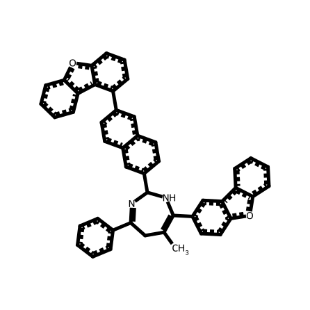 CC1=C(c2ccc3oc4ccccc4c3c2)NC(c2ccc3cc(-c4cccc5oc6ccccc6c45)ccc3c2)N=C(c2ccccc2)C1